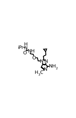 Cc1cc2c(nc(CCC3CC3)n2CCOCCNC(=O)NC(C)C)c(N)n1